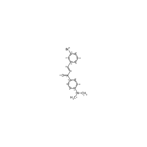 CN(C)c1ccc(C(=O)C=Cc2cccc(Br)c2)cc1